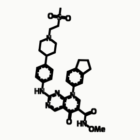 CONC(=O)c1cn(-c2ccc3c(c2)CCC3)c2nc(Nc3ccc(C4CCN(CCS(C)(=O)=O)CC4)cc3)ncc2c1=O